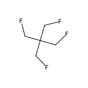 FCC(CF)(CF)CF